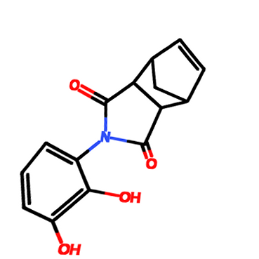 O=C1C2C3C=CC(C3)C2C(=O)N1c1cccc(O)c1O